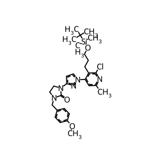 COc1ccc(CN2CCN(c3ccn(-c4cc(C)nc(Cl)c4CCCO[Si](C)(C)C(C)(C)C)n3)C2=O)cc1